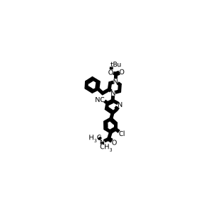 CN(C)C(=O)c1ccc(-c2cnc(N3CCN(C(=O)OC(C)(C)C)CC3Cc3ccccc3)c(C#N)c2)cc1Cl